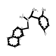 CC(c1cc(Cl)ccc1O)N(C)Cc1ccc2ccccc2c1